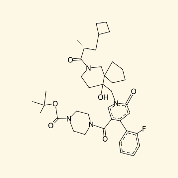 C[C@H](CC1CCC1)C(=O)N1CCC(O)(Cn2cc(C(=O)N3CCN(C(=O)OC(C)(C)C)CC3)c(-c3ccccc3F)cc2=O)C2(CCCC2)C1